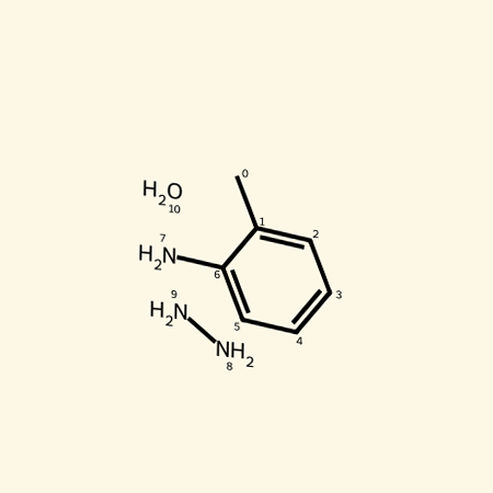 Cc1ccccc1N.NN.O